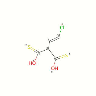 OC(=S)C(C=CCl)C(O)=S